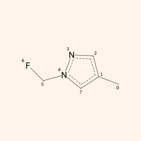 Cc1cnn(CF)c1